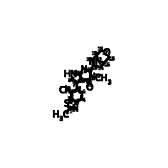 Cc1nc2ccc(-c3c[nH]c4nc(N5CC6COCC(C5)N6)n(C)c(=O)c34)c(Cl)c2s1